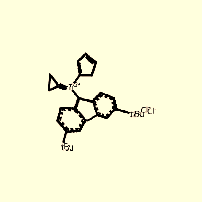 CC(C)(C)c1ccc2c(c1)-c1cc(C(C)(C)C)ccc1[CH]2[Ti+2]([C]1=CC=CC1)=[C]1CC1.[Cl-].[Cl-]